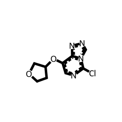 Clc1ncc(OC2CCOC2)c2nncn12